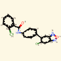 O=C(Nc1ccc(-c2cc3nonc3cc2Cl)cc1)c1ccccc1Cl